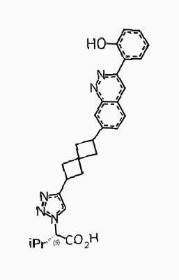 CC(C)[C@@H](C(=O)O)n1cc(C2CC3(CC(c4ccc5cc(-c6ccccc6O)nnc5c4)C3)C2)nn1